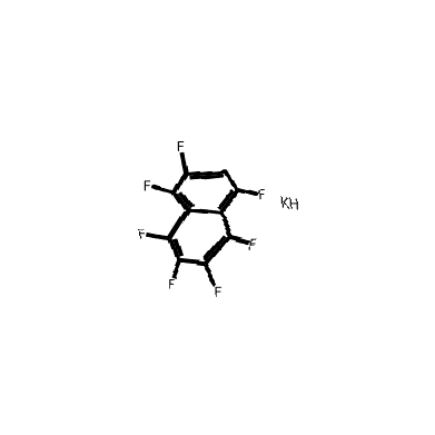 Fc1[c]c(F)c2c(F)c(F)c(F)c(F)c2c1F.[KH]